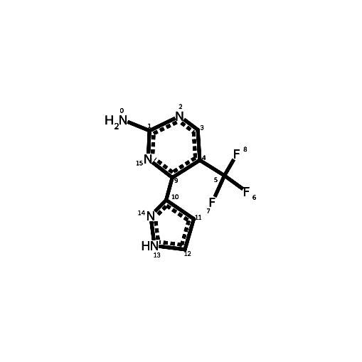 Nc1ncc(C(F)(F)F)c(-c2cc[nH]n2)n1